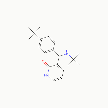 CC(C)(C)NC(c1ccc(C(C)(C)C)cc1)c1ccc[nH]c1=O